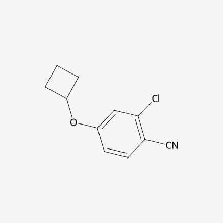 N#Cc1ccc(OC2CCC2)cc1Cl